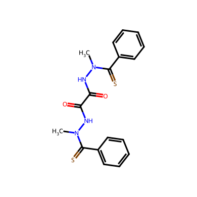 CN(NC(=O)C(=O)NN(C)C(=S)c1ccccc1)C(=S)c1ccccc1